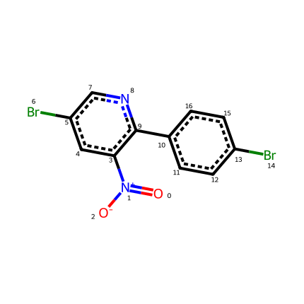 O=[N+]([O-])c1cc(Br)cnc1-c1ccc(Br)cc1